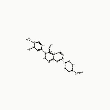 CCCCC[C@H]1CC[C@H](c2ccc3c(F)c(-c4ccc(C(F)(F)F)c(F)c4)ccc3c2)CC1